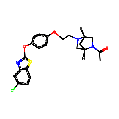 CC(=O)N1C[C@@H]2C[C@H]1CN2CCOc1ccc(Oc2nc3cc(Cl)ccc3s2)cc1